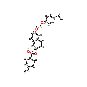 C=Cc1ccc(OCOc2ccc3cc(OC(=O)c4ccc(C=C)cc4)ccc3c2)cc1